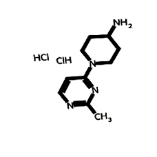 Cc1nccc(N2CCC(N)CC2)n1.Cl.Cl